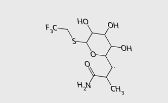 CC([CH]C1OC(SCC(F)(F)F)C(O)C(O)C1O)C(N)=O